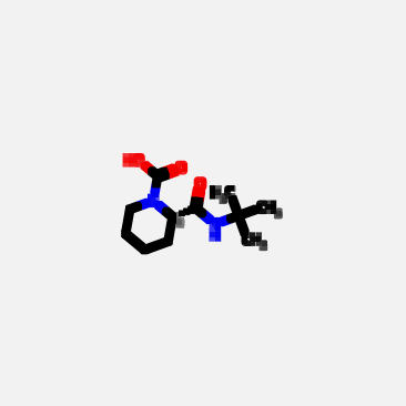 CC(C)(C)NC(=O)[C@@H]1CCCCN1C(=O)O